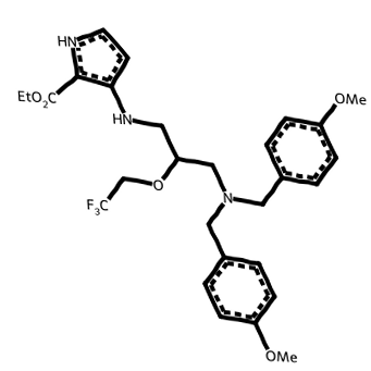 CCOC(=O)c1[nH]ccc1NCC(CN(Cc1ccc(OC)cc1)Cc1ccc(OC)cc1)OCC(F)(F)F